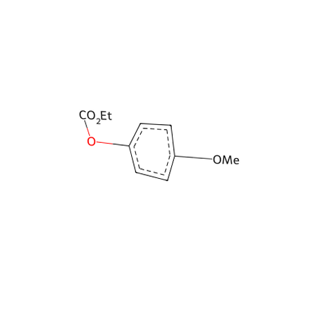 CCOC(=O)Oc1ccc(OC)cc1